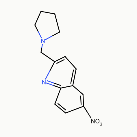 O=[N+]([O-])c1ccc2nc(CN3CCCC3)ccc2c1